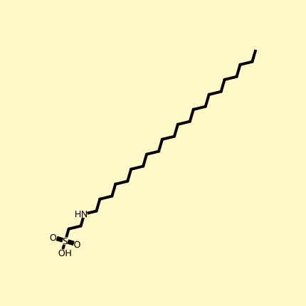 CCCCCCCCCCCCCCCCCCCCCCNCCS(=O)(=O)O